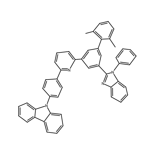 Cc1cccc(C)c1-c1cc(-c2cccc(-c3ccc(-n4c5ccccc5c5ccccc54)cc3)n2)cc(-c2nc3ccccc3n2-c2ccccc2)c1